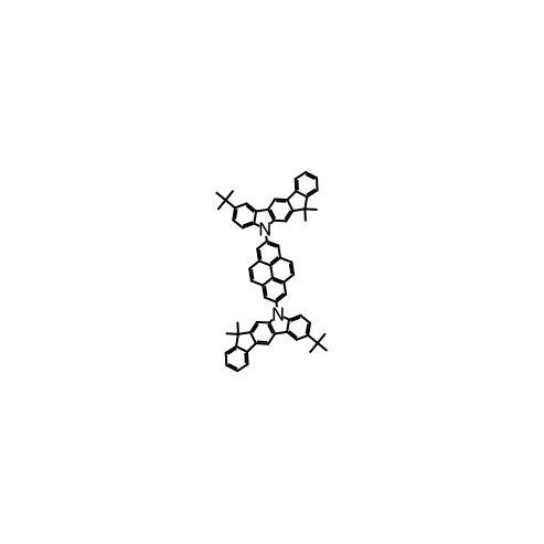 CC(C)(C)c1ccc2c(c1)c1cc3c(cc1n2-c1cc2ccc4cc(-n5c6ccc(C(C)(C)C)cc6c6cc7c(cc65)C(C)(C)c5ccccc5-7)cc5ccc(c1)c2c45)C(C)(C)c1ccccc1-3